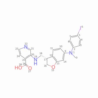 CN(c1ccc(I)cc1)c1ccc2c(c1)OC[C@@H]2CNc1cnccc1C(=O)O